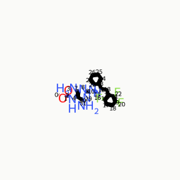 COC(=O)Nc1c(N)nc(-n2nc(Cc3c(F)ccc(F)c3F)c3ccccc32)nc1N